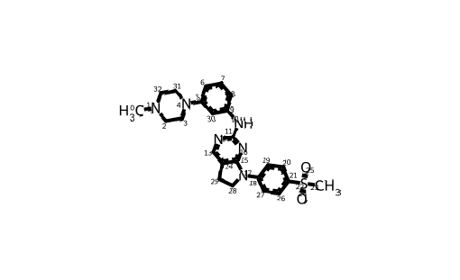 CN1CCN(c2cccc(Nc3ncc4c(n3)N(c3ccc(S(C)(=O)=O)cc3)CC4)c2)CC1